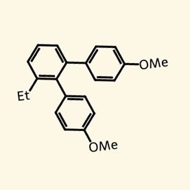 [CH2]Cc1cccc(-c2ccc(OC)cc2)c1-c1ccc(OC)cc1